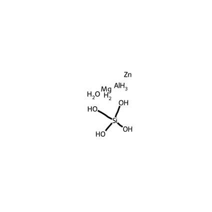 O.O[Si](O)(O)O.[AlH3].[MgH2].[Zn]